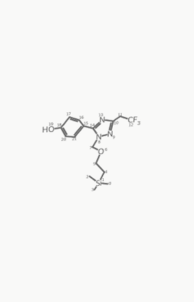 C[Si](C)(C)CCOCn1nc(CC(F)(F)F)nc1-c1ccc(O)cc1